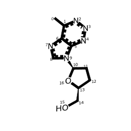 Cc1nnnc2c1ncn2[C@H]1CC[C@@H](CO)O1